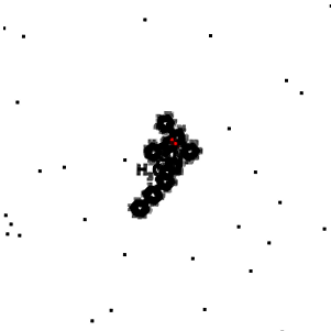 CC1(C)c2cc(-c3ccc(-c4ccccc4)cc3)ccc2-c2ccc(N(c3ccccc3-c3ccc(-c4ccccc4)cc3)c3cccc4c3oc3ccccc34)cc21